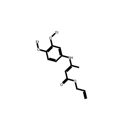 C=CCOC(=O)C=C(C)Nc1ccc(OCC)c(OCC)c1